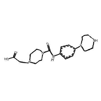 O=C(O)CN1CCN(C(=O)Nc2ccc(N3CCNCC3)cc2)CC1